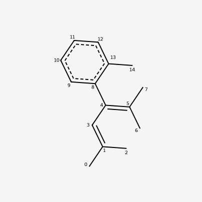 CC(C)=CC(=C(C)C)c1ccccc1C